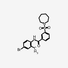 Cc1cc(Br)ccc1NC(=O)c1cccc(S(=O)(=O)N2CCCCCC2)c1